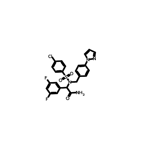 NC(=O)C(c1cc(F)cc(F)c1)N(Cc1ccc(-n2cccn2)cc1)S(=O)(=O)c1ccc(Cl)cc1